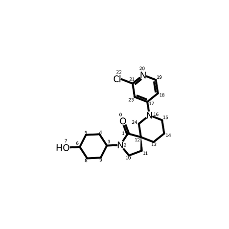 O=C1N(C2CCC(O)CC2)CC[C@@]12CCCN(c1ccnc(Cl)c1)C2